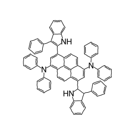 c1ccc(-c2c(-c3cc(N(c4ccccc4)c4ccccc4)c4ccc5c(C6Nc7ccccc7C6c6ccccc6)cc(N(c6ccccc6)c6ccccc6)c6ccc3c4c56)[nH]c3ccccc23)cc1